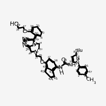 Cc1ccc(-n2nc(C(C)(C)C)cc2NC(=O)Nc2ccc(OCCN3CCn4c(nnc4-c4ccccc4OCCO)C3)c3c2CCC3)cc1